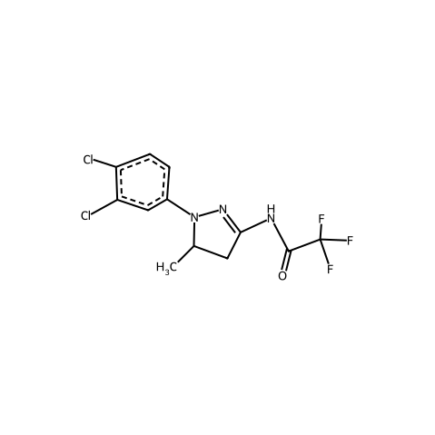 CC1CC(NC(=O)C(F)(F)F)=NN1c1ccc(Cl)c(Cl)c1